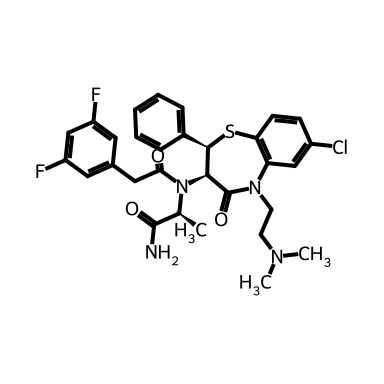 C[C@@H](C(N)=O)N(C(=O)Cc1cc(F)cc(F)c1)[C@@H]1C(=O)N(CCN(C)C)c2cc(Cl)ccc2S[C@@H]1c1ccccc1